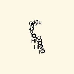 CN1CCC[C@@H]1c1cc2cnc(NC(=O)c3ccc(CN4CCN(C(=O)OC(C)(C)C)CC4)cc3)cc2[nH]1